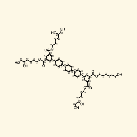 O=C(OCCCCCCO)c1cc(C(=O)OCCCCC(O)CO)cc(-c2ccc(-c3ccc(-c4ccc(-c5cc(C(=O)OCCCCC(O)CO)cc(C(=O)OCCCCC(O)CO)c5)cc4)cc3)cc2)c1